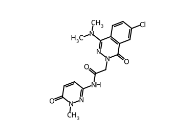 CN(C)c1nn(CC(=O)Nc2ccc(=O)n(C)n2)c(=O)c2cc(Cl)ccc12